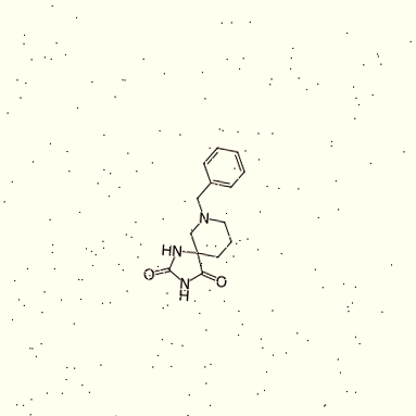 O=C1NC(=O)C2(CCCN(Cc3ccccc3)C2)N1